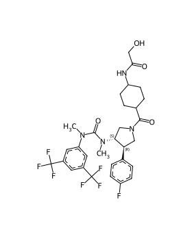 CN(C(=O)N(C)[C@@H]1CN(C(=O)C2CCC(NC(=O)CO)CC2)C[C@H]1c1ccc(F)cc1)c1cc(C(F)(F)F)cc(C(F)(F)F)c1